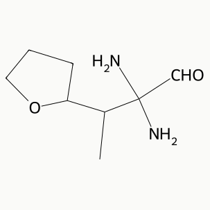 CC(C1CCCO1)C(N)(N)C=O